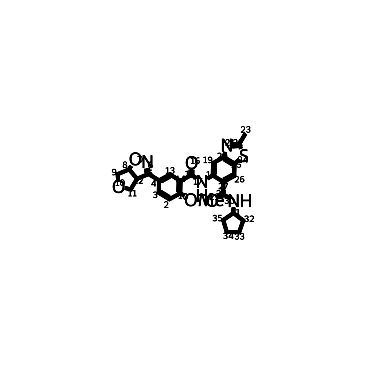 COc1ccc(C2=NOC3COCC23)cc1C(=O)Nc1cc2nc(C)sc2cc1C(=O)NC1CCCC1